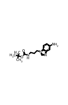 CC(C)(C)OC(=O)NCCCn1cnc2cc(N)ccc21